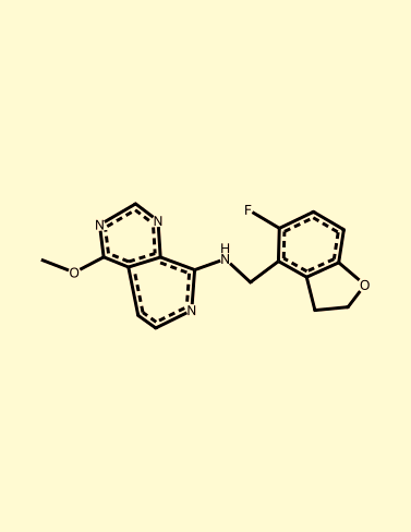 COc1ncnc2c(NCc3c(F)ccc4c3CCO4)nccc12